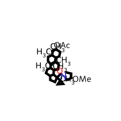 COC1CCN(C(=O)C2(C3(C)CC3)CCC3CCC4(C)C(CCC5C6(C)CCC(OC(C)=O)C(C)(C)C6CCC54C)C32)CC1